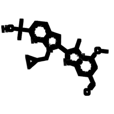 COc1cc(C=O)cc2nc(-c3cc4ccc(C(C)(C)O)nc4n3CC3CC3)c(C)n12